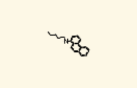 CCCCC[N]c1cccc2c1ccc1ccccc12